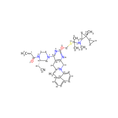 C=CC(=O)N1CCN(c2nc(OCSC(C)(C)N(C)C3C[C@]3(C)C3CC3)nc3c2CCN(c2cccc4cccc(C)c24)C3)C[C@@H]1CC#N